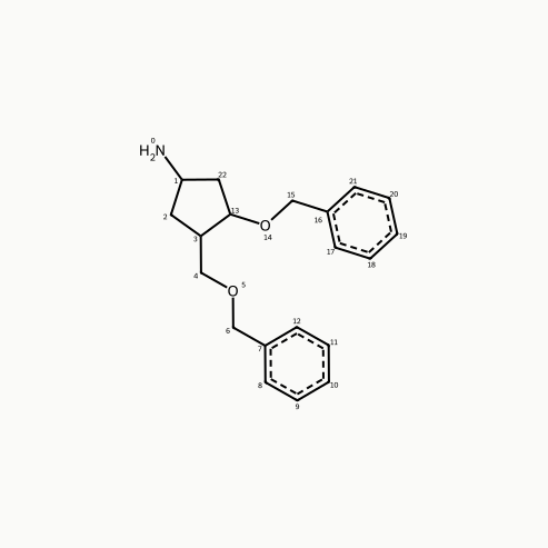 NC1CC(COCc2ccccc2)C(OCc2ccccc2)C1